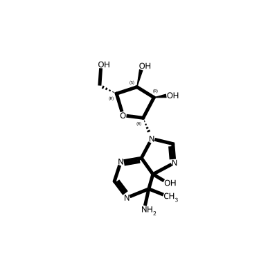 CC1(N)N=CN=C2N([C@@H]3O[C@H](CO)[C@@H](O)[C@H]3O)C=NC21O